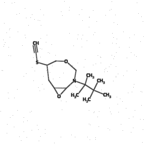 C#CSC1COCN(C(C)(C)C(C)(C)C)C2OC2C1